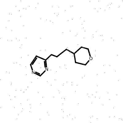 c1cc(CCCC2CCOCC2)ncn1